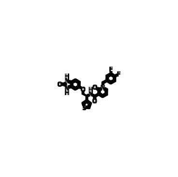 O=C(N[C@H](COc1ccc2[nH]c(=O)[nH]c2c1)c1ccsc1)c1cccn(Cc2ccc(F)c(F)c2)c1=O